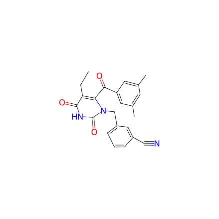 CCc1c(C(=O)c2cc(C)cc(C)c2)n(Cc2cccc(C#N)c2)c(=O)[nH]c1=O